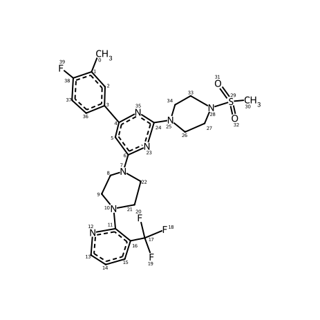 Cc1cc(-c2cc(N3CCN(c4ncccc4C(F)(F)F)CC3)nc(N3CCN(S(C)(=O)=O)CC3)n2)ccc1F